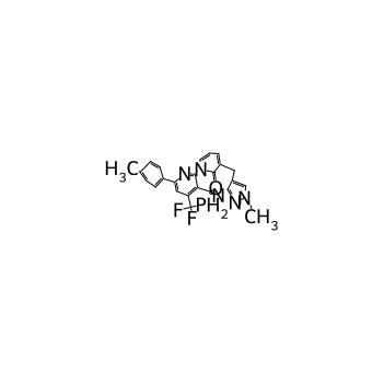 CCn1cc(Cc2cccn(-c3nc(-c4ccc(C)cc4)cc(C(F)(F)P)c3C#N)c2=O)cn1